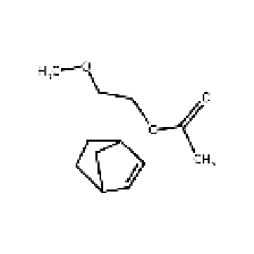 C1=CC2CCC1C2.COCCOC(C)=O